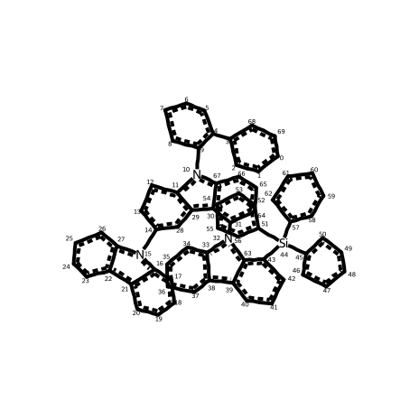 c1ccc(-c2ccccc2-n2c3ccc(-n4c5ccccc5c5ccccc54)cc3c3c(-n4c5ccccc5c5cccc([Si](c6ccccc6)(c6ccccc6)c6ccccc6)c54)cccc32)cc1